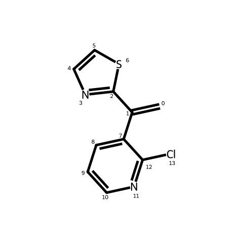 C=C(c1nccs1)c1cccnc1Cl